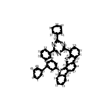 c1ccc(-c2cccc(-n3c4ccccc4c4ccc5c6cccc(-c7nc(-c8ccccc8)nc(-c8ccccc8)n7)c6sc5c43)c2)cc1